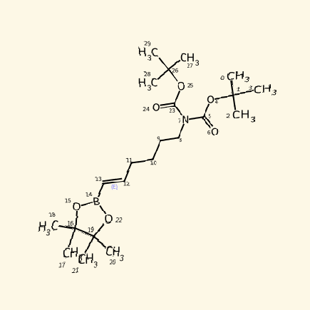 CC(C)(C)OC(=O)N(CCCC/C=C/B1OC(C)(C)C(C)(C)O1)C(=O)OC(C)(C)C